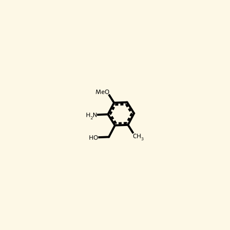 COc1ccc(C)c(CO)c1N